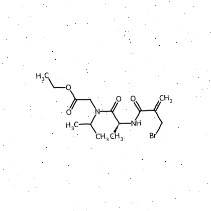 C=C(CBr)C(=O)N[C@@H](C)C(=O)N(CC(=O)OCC)C(C)C